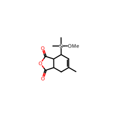 CO[Si](C)(C)C1C=C(C)CC2C(=O)OC(=O)C21